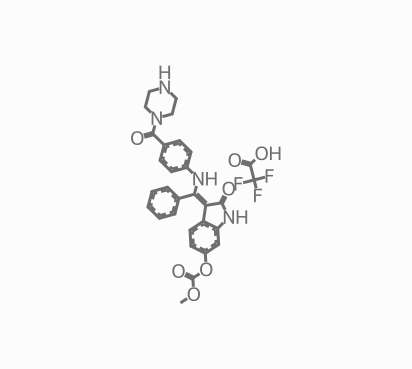 COC(=O)Oc1ccc2c(c1)NC(=O)/C2=C(\Nc1ccc(C(=O)N2CCNCC2)cc1)c1ccccc1.O=C(O)C(F)(F)F